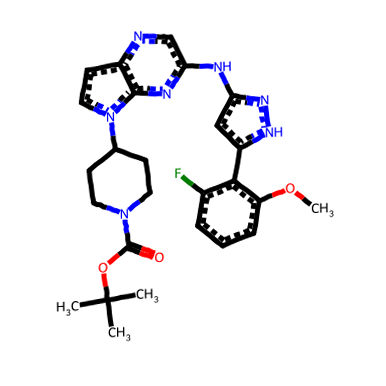 COc1cccc(F)c1-c1cc(Nc2cnc3ccn(C4CCN(C(=O)OC(C)(C)C)CC4)c3n2)n[nH]1